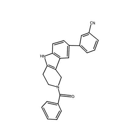 N#Cc1cccc(-c2ccc3[nH]c4c(c3c2)CN(C(=O)c2ccccc2)CC4)c1